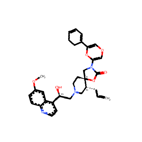 C=CC[C@@H]1CN(C[C@H](O)c2ccnc3ccc(OC)cc23)CC[C@]12CN(C1=COC=C(C3=CC=CCC3)O1)C(=O)O2